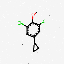 COc1c(Cl)cc(C2CC2)cc1Cl